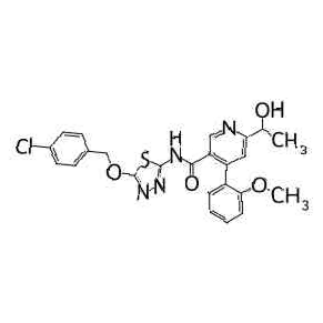 COc1ccccc1-c1cc(C(C)O)ncc1C(=O)Nc1nnc(OCc2ccc(Cl)cc2)s1